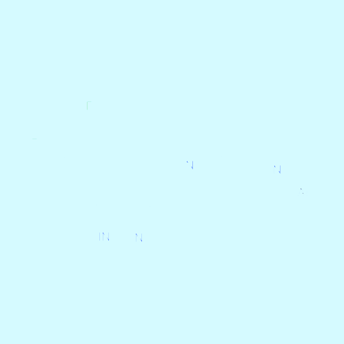 CC(=O)N(C)c1ccc(-c2n[nH]c3cc(F)c(F)cc23)nc1C